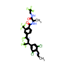 C/C=C/c1c(Cl)cc(C(/C=C(\F)c2ccc(C(=O)NC(C)C(=O)NCC(F)(F)F)c(C(F)(F)F)c2)C(F)(F)F)cc1Cl